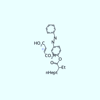 CCCCCCCC(CC)C(=O)Oc1ccc(N=Nc2ccccc2)cc1.O=C(O)/C=C/C(=O)O